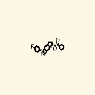 C[C@]12Cc3cnn(-c4ccc(F)cc4)c3C=C1CC[C@@H]2C(=O)Nc1ccccc1